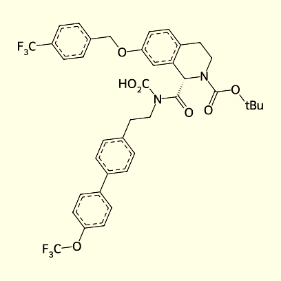 CC(C)(C)OC(=O)N1CCc2ccc(OCc3ccc(C(F)(F)F)cc3)cc2[C@H]1C(=O)N(CCc1ccc(-c2ccc(OC(F)(F)F)cc2)cc1)C(=O)O